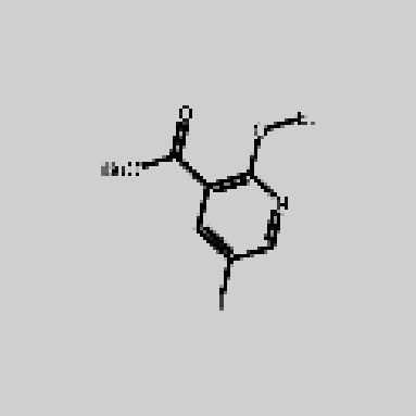 CCOc1ncc(I)cc1C(=O)OCC(C)C